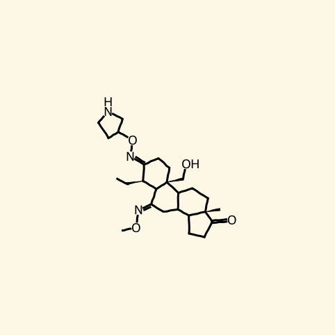 CC[C@H]1C(=NOC2CCNC2)CC[C@]2(CO)C3CC[C@]4(C)C(=O)CCC4C3CC(=NOC)C12